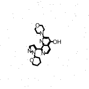 Oc1cc(N2CCOCC2)nc2c(-c3ccnn3C3CCCCO3)nccc12